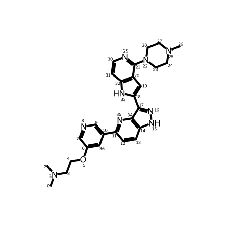 CN(C)CCOc1cncc(-c2ccc3[nH]nc(-c4cc5c(N6CCN(C)CC6)nccc5[nH]4)c3n2)c1